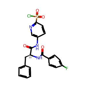 O=C(N[C@@H](Cc1ccccc1)C(=O)Nc1ccc(S(=O)(=O)Cl)nc1)c1ccc(F)cc1